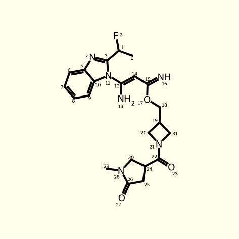 CC(F)c1nc2ccccc2n1/C(N)=C/C(=N)OCC1CN(C(=O)C2CC(=O)N(C)C2)C1